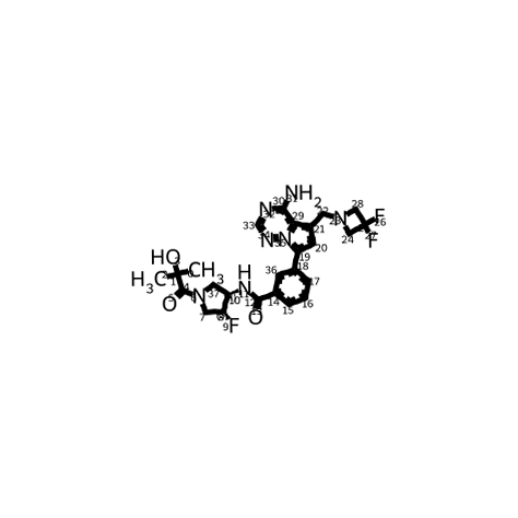 CC(C)(O)C(=O)N1C[C@H](F)[C@H](NC(=O)c2cccc(-c3cc(CN4CC(F)(F)C4)c4c(N)ncnn34)c2)C1